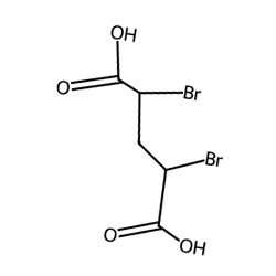 O=C(O)C(Br)CC(Br)C(=O)O